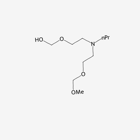 CCCN(CCOCO)CCOCOC